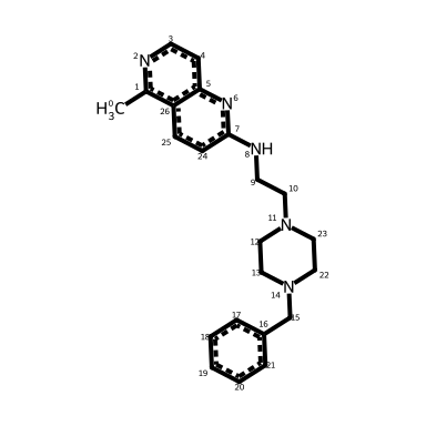 Cc1nccc2nc(NCCN3CCN(Cc4ccccc4)CC3)ccc12